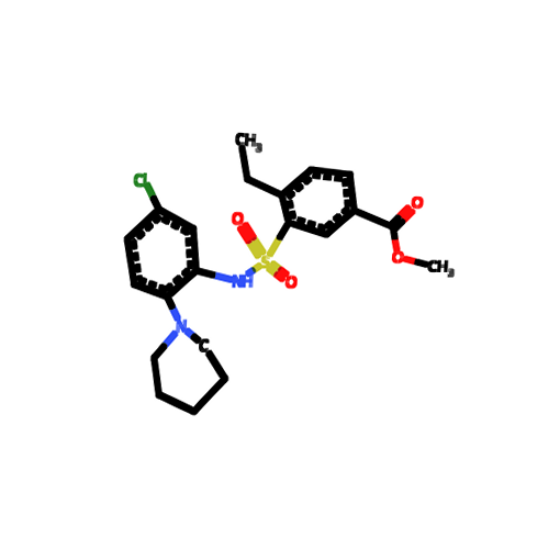 CCc1ccc(C(=O)OC)cc1S(=O)(=O)Nc1cc(Cl)ccc1N1CCCCC1